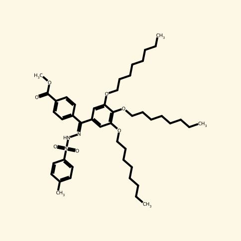 CCCCCCCCOc1cc(C(=NNS(=O)(=O)c2ccc(C)cc2)c2ccc(C(=O)OC)cc2)cc(OCCCCCCCC)c1OCCCCCCCC